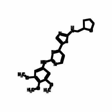 COc1cc(Nc2nccc(-c3cnc(NCC4CCCO4)s3)n2)cc(OC)c1OC